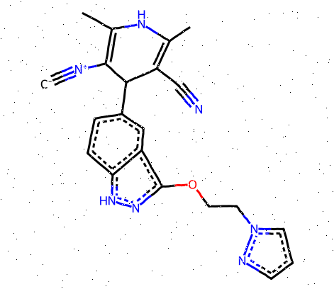 [C-]#[N+]C1=C(C)NC(C)=C(C#N)C1c1ccc2[nH]nc(OCCn3cccn3)c2c1